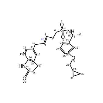 C[C@@H](NS(=O)(=O)CC/C=C/Cc1cnc2c(c1)CCC(=O)N2)c1cccc(OCC2CC2)c1